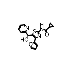 O=C(Nc1nc(-c2ccco2)c([C@H](O)c2ccccn2)s1)C1CC1